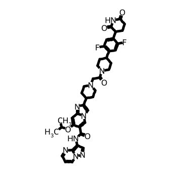 CC(C)Oc1cc2nc(C3CCN(CC(=O)N4CCC(c5cc(F)c(C6CCC(=O)NC6=O)cc5F)CC4)CC3)cn2cc1C(=O)Nc1cnn2cccnc12